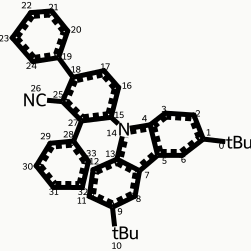 CC(C)(C)c1ccc2c(c1)c1cc(C(C)(C)C)ccc1n2-c1ccc(-c2ccccc2)c(C#N)c1-c1ccccc1